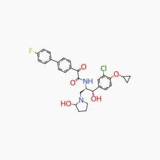 O=C(N[C@H](CN1CCCC1O)[C@H](O)c1ccc(OC2CC2)c(Cl)c1)C(=O)c1ccc(-c2ccc(F)cc2)cc1